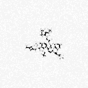 CC(C)(C#Cc1ccc(-c2ccc(Cl)c3c(N(C(=O)C4CC(C(=O)O)C4)S(C)(=O)=O)nn(CC(F)(F)F)c23)c([C@H](Cc2cc(F)cc(F)c2)NC(=O)Cn2nc(C(F)(F)F)c3c2C(F)(F)[C@@H]2C[C@H]32)n1)S(C)(=O)=O